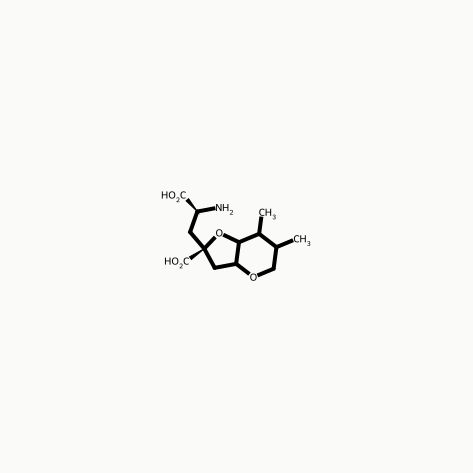 CC1COC2C[C@@](C[C@H](N)C(=O)O)(C(=O)O)OC2C1C